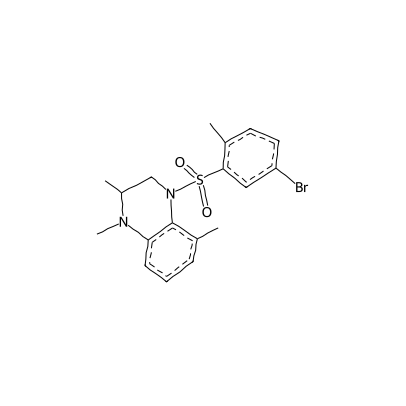 Cc1ccc(Br)cc1S(=O)(=O)N1CC(C)N(C)c2cccc(C)c21